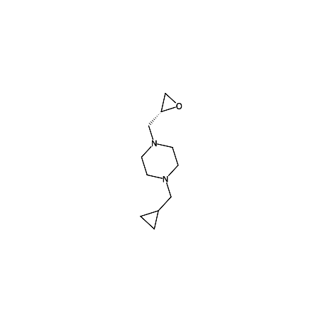 C1CC1CN1CCN(C[C@@H]2CO2)CC1